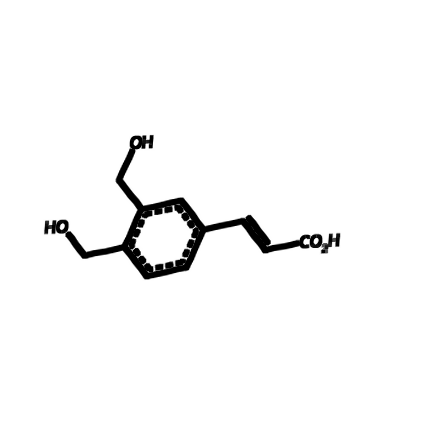 O=C(O)C=Cc1ccc(CO)c(CO)c1